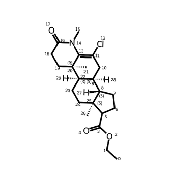 CCOC(=O)C1CC[C@H]2[C@@H]3CC(Cl)=C4N(C)C(=O)CC[C@]4(C)[C@@H]3CC[C@]12C